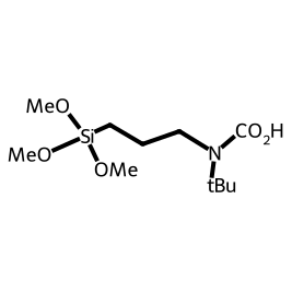 CO[Si](CCCN(C(=O)O)C(C)(C)C)(OC)OC